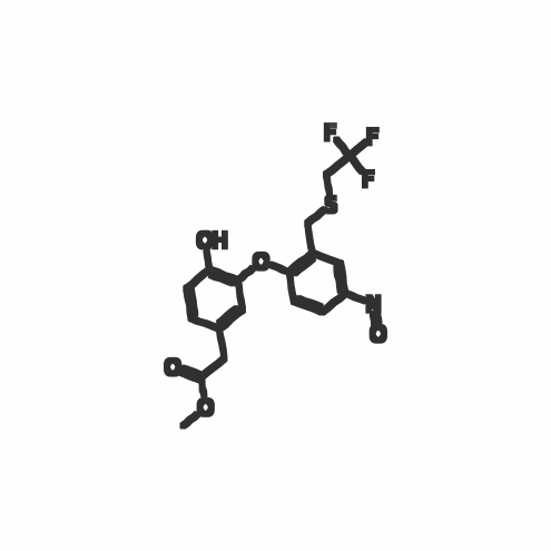 COC(=O)Cc1ccc(O)c(Oc2ccc(N=O)cc2CSCC(F)(F)F)c1